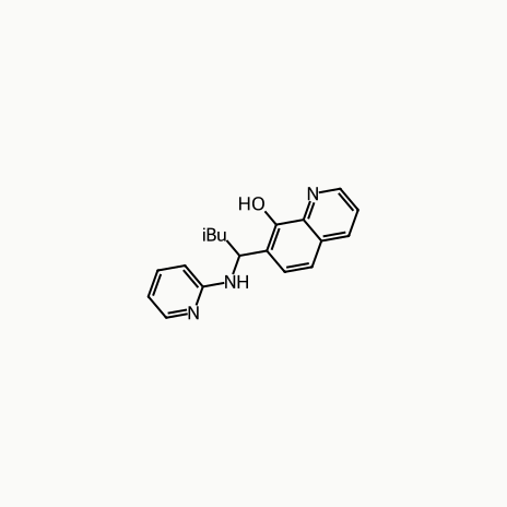 CCC(C)C(Nc1ccccn1)c1ccc2cccnc2c1O